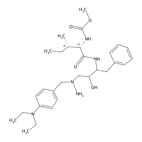 CC[C@H](C)[C@H](NC(=O)OC)C(=O)NC(Cc1ccccc1)C(O)CN(N)Cc1ccc(N(CC)CC)cc1